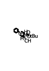 C#C[C@H]1[C@H]2C[C@H](CN(c3ccccc3)C2)N1C(=O)OC(C)(C)C